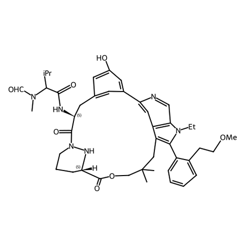 CCn1c(-c2ccccc2CCOC)c2c3cc(ncc31)-c1cc(O)cc(c1)C[C@H](NC(=O)C(C(C)C)N(C)C=O)C(=O)N1CCC[C@H](N1)C(=O)OCC(C)(C)C2